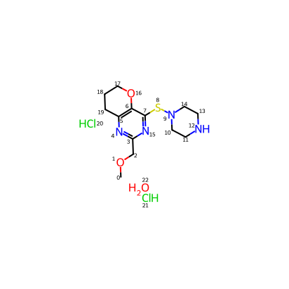 COCc1nc2c(c(SN3CCNCC3)n1)OCCC2.Cl.Cl.O